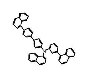 c1cc(-c2cccc3ccccc23)cc(N(c2ccc(-c3ccc(-c4cccc5ccccc45)cc3)cc2)c2cccc3ccccc23)c1